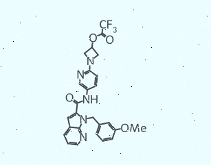 COc1cccc(Cn2c(C(=O)Nc3ccc(N4CC(OC(=O)C(F)(F)F)C4)nc3)cc3cccnc32)c1